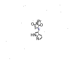 CC(C)N1C(=O)S/C(=C\c2c[nH]c3ncccc23)C1=O